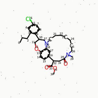 CCCc1cc(Cl)ccc1C1COc2ccc3cc2N(CCCCCCCN(C)C(=O)CC3C(=O)OC)C1